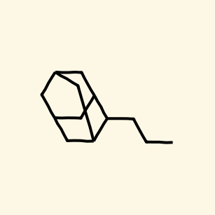 CCCC1C2CC3CC(C2)CC1C3